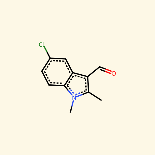 Cc1c(C=O)c2cc(Cl)ccc2n1C